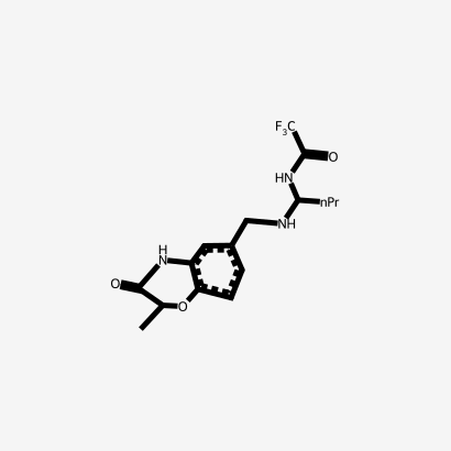 CCCC(NCc1ccc2c(c1)NC(=O)C(C)O2)NC(=O)C(F)(F)F